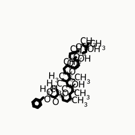 C=CC([C@@H](C)[C@@H](O)[C@H](C)C1O[C@@H](C(CC)C(=O)C(=O)OCc2ccccc2)CC[C@@H]1C)[C@H](CC)[C@H]1O[C@]2(C=C[C@@H](O)[C@]3(CC[C@@](C)([C@H]4CC[C@](O)(CC)[C@H](C)O4)O3)O2)[C@H](C)C[C@@H]1C